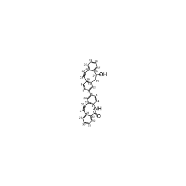 O=C1Nc2ccc(-c3ccc4c(c3)CC(O)c3ccccc3C#C4)cc2C#Cc2ccccc21